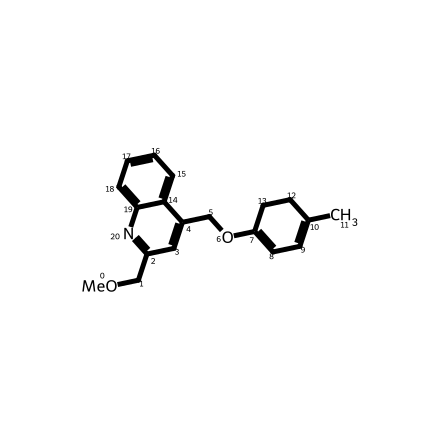 COCc1cc(COC2=CC=C(C)CC2)c2ccccc2n1